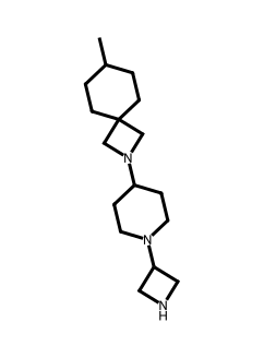 CC1CCC2(CC1)CN(C1CCN(C3CNC3)CC1)C2